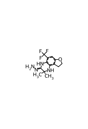 CC1(C)Nc2c3c(cc(C(F)(F)F)c2NC1=NN)OCC3